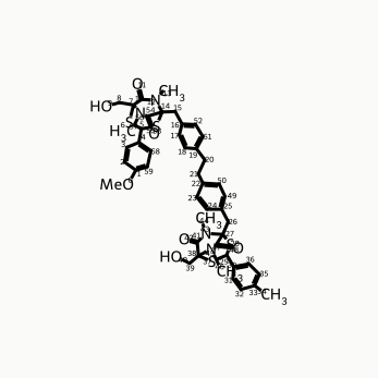 COc1ccc(C2SC3(CO)C(=O)N(C)C(Cc4ccc(CCc5ccc(CC67SC(c8ccc(C)cc8)SC(CO)(C(=O)N6C)N(C)C7=O)cc5)cc4)(S2)C(=O)N3C)cc1